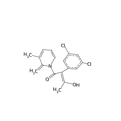 C=C1C(C)=CC=CN1C(=O)/C(=C(\C)O)c1cc(Cl)cc(Cl)c1